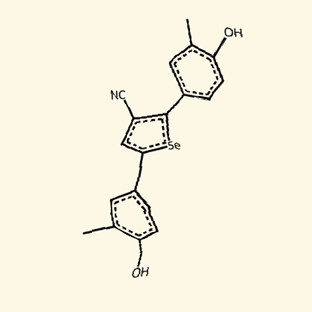 Cc1cc(-c2cc(C#N)c(-c3ccc(O)c(C)c3)[se]2)ccc1O